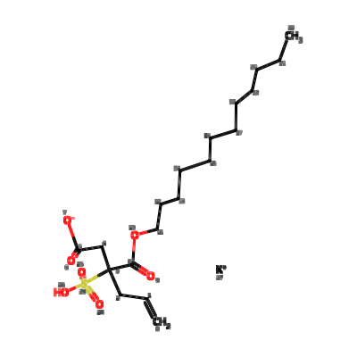 C=CCC(CC(=O)[O-])(C(=O)OCCCCCCCCCCCC)S(=O)(=O)O.[K+]